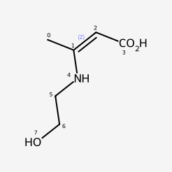 C/C(=C/C(=O)O)NCCO